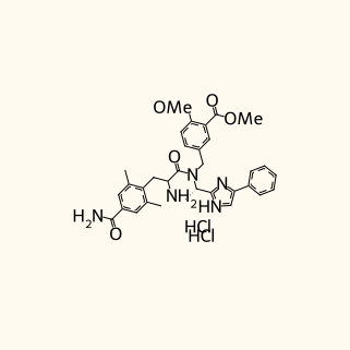 COC(=O)c1cc(CN(C(=O)C(N)Cc2c(C)cc(C(N)=O)cc2C)[C@@H](C)c2nc(-c3ccccc3)c[nH]2)ccc1OC.Cl.Cl